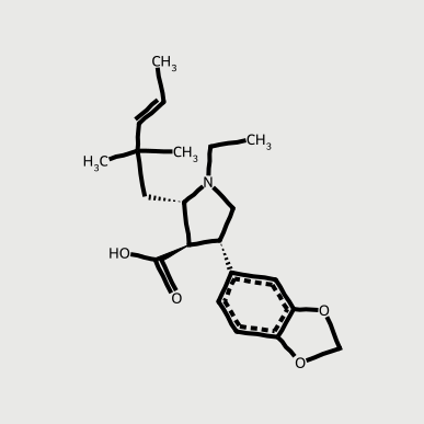 CC=CC(C)(C)C[C@H]1[C@H](C(=O)O)[C@@H](c2ccc3c(c2)OCO3)CN1CC